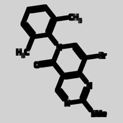 CSc1ncc2c(=O)n(-c3c(C)cccc3C)cc(Br)c2n1